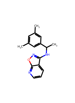 Cc1cc(C)cc(C(C)Nc2noc3ncccc23)c1